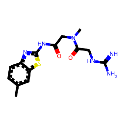 Cc1ccc2nc(NC(=O)CN(C)C(=O)CNC(=N)N)sc2c1